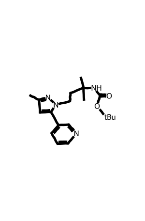 Cc1cc(-c2cccnc2)n(CCC(C)(C)NC(=O)OC(C)(C)C)n1